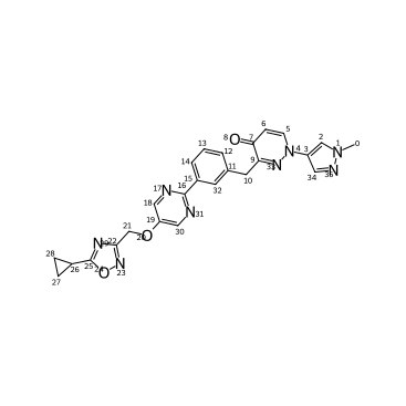 Cn1cc(-n2ccc(=O)c(Cc3cccc(-c4ncc(OCc5noc(C6CC6)n5)cn4)c3)n2)cn1